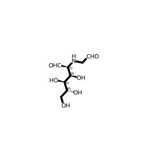 O=CCN[C@H](C=O)[C@@H](O)[C@H](O)[C@H](O)CO